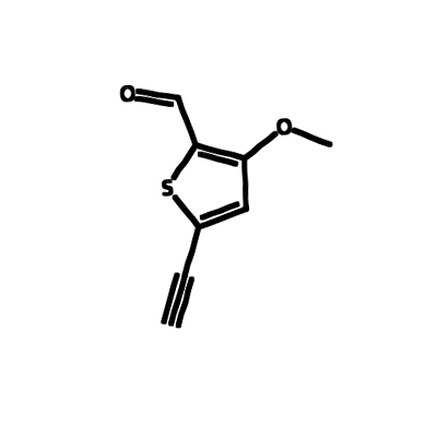 C#Cc1cc(OC)c(C=O)s1